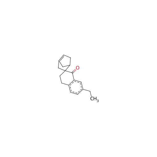 CCc1ccc2c(c1)C(=O)C1(CC2)CC2=CCC1C2